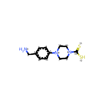 NCc1ccc(N2CCN(C(=S)S)CC2)cc1